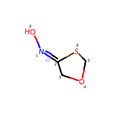 O/N=C1/COCS1